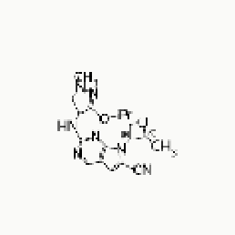 CC(C)OC1=NN(C)CC1Nc1ncc2cc(C#N)n([C@@H]3CO[C@H]3C)c2n1